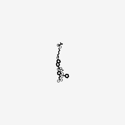 C=C(C)C(=O)OCCCCCCOc1ccc2cc(C(=O)Oc3ccc(C=CC(=O)OC)c(OC(=O)c4ccccc4)c3OC)ccc2c1